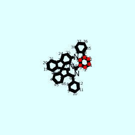 c1ccc(-c2nc(-c3ccccc3)c3c(n2)C2(c4ccccc4-c4ccc(-n5c6ccccc6c6ccccc65)cc42)c2ccccc2-3)cc1